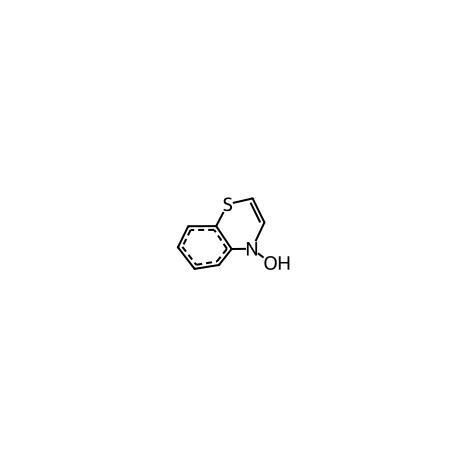 ON1C=CSc2ccccc21